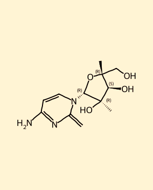 C=C1N=C(N)C=CN1[C@@H]1O[C@](C)(CO)[C@@H](O)[C@@]1(C)O